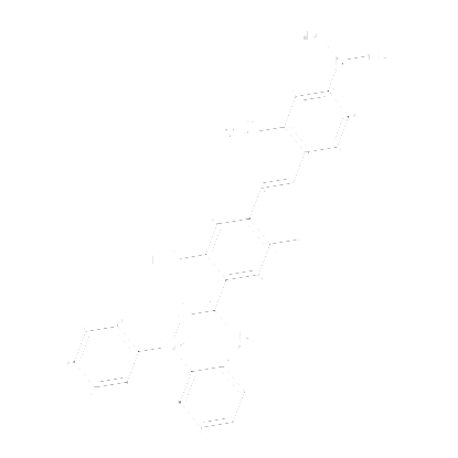 CCCCN(CCCC)c1ccc(C=Cc2cc(C)c(C(O[SiH](c3ccccc3)c3ccccc3)C(C)(C)C)cc2C)c(OC)c1